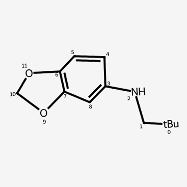 CC(C)(C)CNc1ccc2c(c1)OCO2